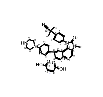 Cn1c(=O)n(-c2ccc(C(C)(C)C#N)cc2)c2c3cc(-c4ccc(N5CCNCC5)nc4)ccc3ncc21.O=C(O)/C=C\C(=O)O